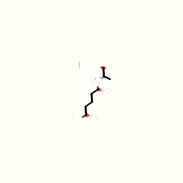 CC(C)COC(=O)C(C)NC(=O)CCCC(=O)C(C)C